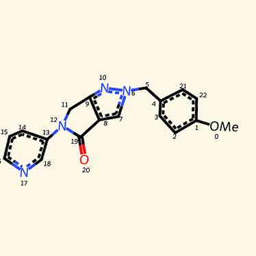 COc1ccc(Cn2cc3c(n2)CN(c2cccnc2)C3=O)cc1